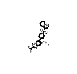 Cc1cc2nc(C(F)F)nn2cc1C1=CCN(S(=O)(=O)c2cnn3c2CCCC3)CC1